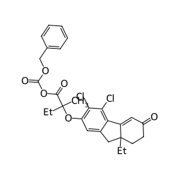 CCC12CCC(=O)C=C1c1c(cc(OC(C)(CC)C(=O)OC(=O)OCc3ccccc3)c(Cl)c1Cl)C2